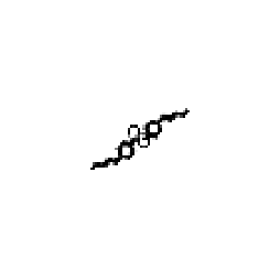 CCCC=CC1CCC(OC(=O)C2CCC(CCCCC)CC2)CC1